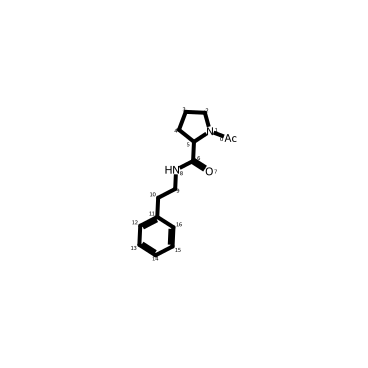 CC(=O)N1CCCC1C(=O)NCCc1ccccc1